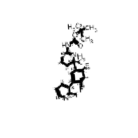 CC(C)(C)OC(=O)NC1=N[C@](C)(c2cc(-c3cccnc3F)c(F)cc2F)CCS1